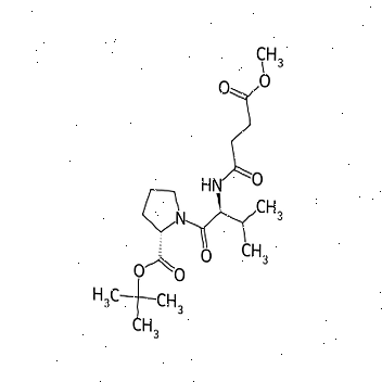 COC(=O)CCC(=O)N[C@H](C(=O)N1CCC[C@H]1C(=O)OC(C)(C)C)C(C)C